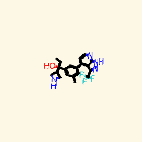 CCC(O)(c1cc(C)cc(-c2ccnc3[nH]nc(C(F)(F)F)c23)c1)C1CNC1